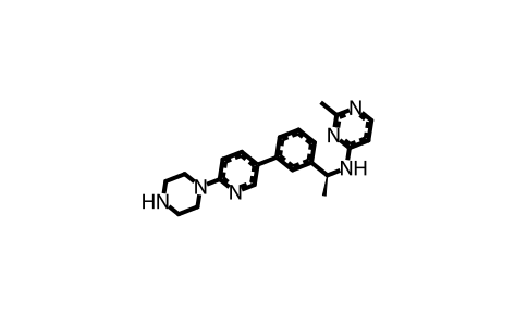 Cc1nccc(N[C@@H](C)c2cccc(-c3ccc(N4CCNCC4)nc3)c2)n1